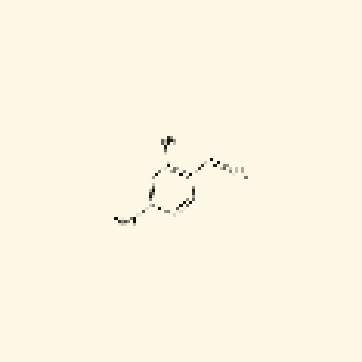 C=Cc1ccc(NC)cc1CCC